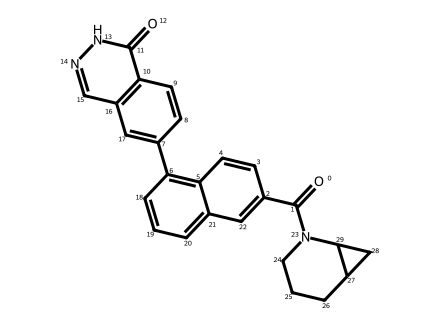 O=C(c1ccc2c(-c3ccc4c(=O)[nH]ncc4c3)cccc2c1)N1CCCC2CC21